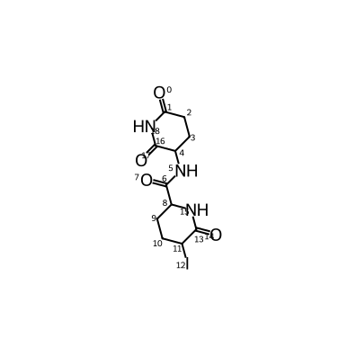 O=C1CCC(NC(=O)C2CCC(I)C(=O)N2)C(=O)N1